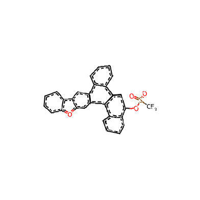 O=S(=O)(Oc1cc2c3ccccc3c3cc4c(cc3c2c2ccccc12)oc1ccccc14)C(F)(F)F